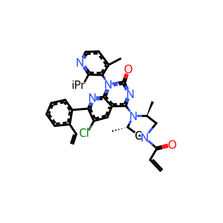 C=CC(=O)N1C[C@H](C)N(c2nc(=O)n(-c3c(C)ccnc3C(C)C)c3nc(-c4ccccc4C=C)c(Cl)cc23)[C@@H](C)C1